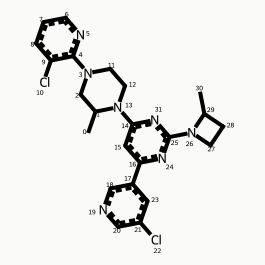 CC1CN(c2ncccc2Cl)CCN1c1cc(-c2cncc(Cl)c2)nc(N2CCC2C)n1